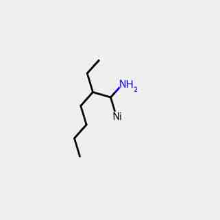 CCCCC(CC)[CH](N)[Ni]